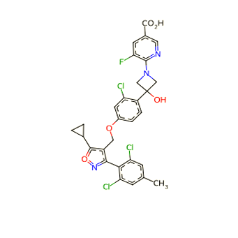 Cc1cc(Cl)c(-c2noc(C3CC3)c2COc2ccc(C3(O)CN(c4ncc(C(=O)O)cc4F)C3)c(Cl)c2)c(Cl)c1